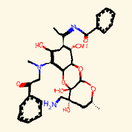 C/C(=N/C(=O)c1ccccc1)[C@@H]1C(O)[C@H](N(C)CC(=O)c2ccccc2)C2O[C@]3(O)C(OC2[C@H]1O)O[C@H](C)C[C@@]3(O)CN